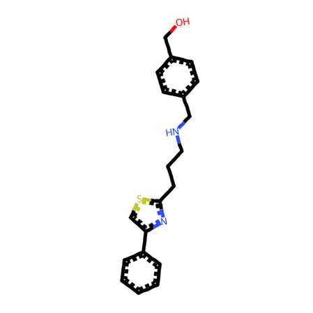 OCc1ccc(CNCCCc2nc(-c3ccccc3)cs2)cc1